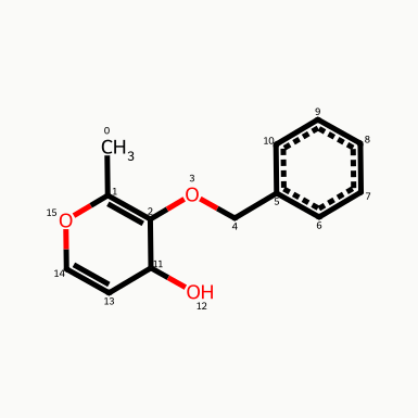 CC1=C(OCc2ccccc2)C(O)C=CO1